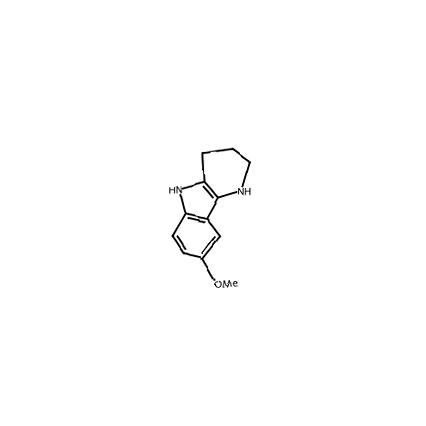 COc1ccc2[nH]c3c(c2c1)NCCC3